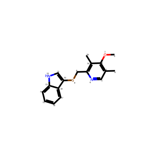 COc1c(C)cnc(CSc2c[nH]c3ccccc23)c1C